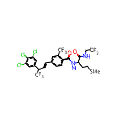 CSCCC(NC(=O)c1ccc(/C=C/C(c2cc(Cl)c(Cl)c(Cl)c2)C(F)(F)F)cc1C(F)(F)F)C(=O)NCC(F)(F)F